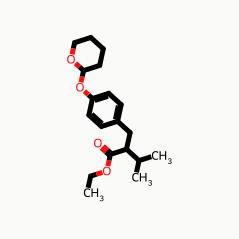 CCOC(=O)C(Cc1ccc(OC2CCCCO2)cc1)C(C)C